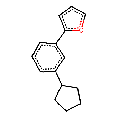 c1cc(-c2ccco2)cc(C2CCCC2)c1